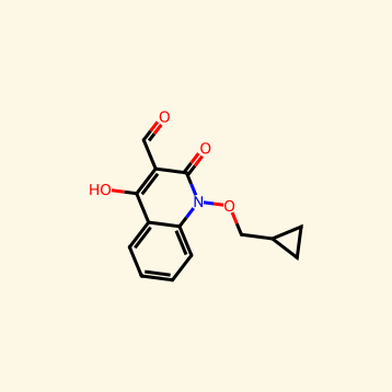 O=Cc1c(O)c2ccccc2n(OCC2CC2)c1=O